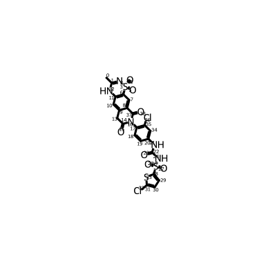 CC1=NS(=O)(=O)c2cc3c(cc2N1)CC(=O)N(c1ccc(NC(=O)NS(=O)(=O)c2ccc(Cl)s2)cc1Cl)C3=O